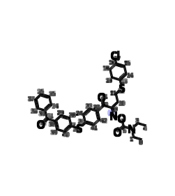 CCN(CC)C(=O)O/N=C(\CCSC1=CC=C(Cl)CC1)C(=O)c1ccc(Sc2ccc(C(=O)c3ccccc3)cc2)cc1